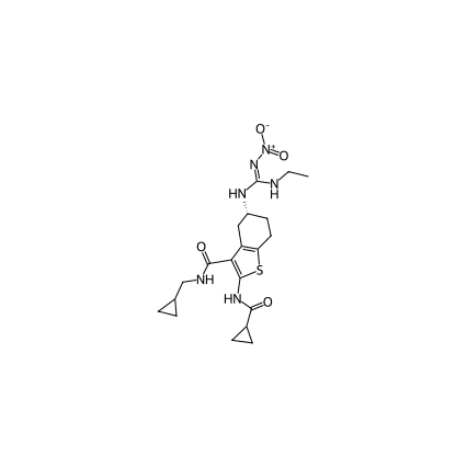 CCN/C(=N\[N+](=O)[O-])N[C@@H]1CCc2sc(NC(=O)C3CC3)c(C(=O)NCC3CC3)c2C1